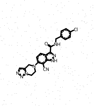 N#Cc1c(N2CCn3nncc3C2)ccc2c(C(=O)NCc3ccc(Cl)cc3)n[nH]c12